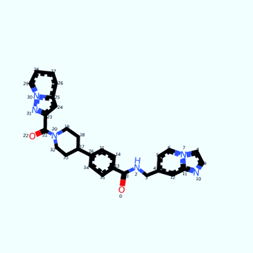 O=C(NCc1ccn2ccnc2c1)c1ccc(C2CCN(C(=O)c3cc4ccccn4n3)CC2)cc1